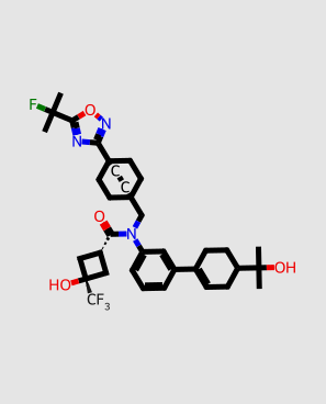 CC(C)(F)c1nc(C23CCC(CN(c4cccc(C5=CCC(C(C)(C)O)CC5)c4)C(=O)[C@H]4C[C@](O)(C(F)(F)F)C4)(CC2)CC3)no1